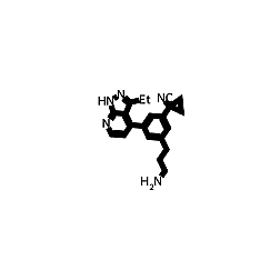 CCc1n[nH]c2nccc(-c3cc(CCCN)cc(C4(C#N)CC4)c3)c12